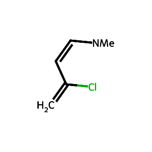 C=C(Cl)/C=C\NC